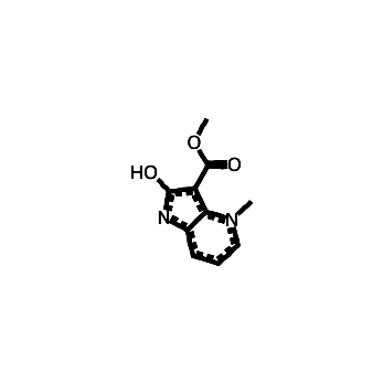 COC(=O)c1c(O)nc2cccn(C)c1-2